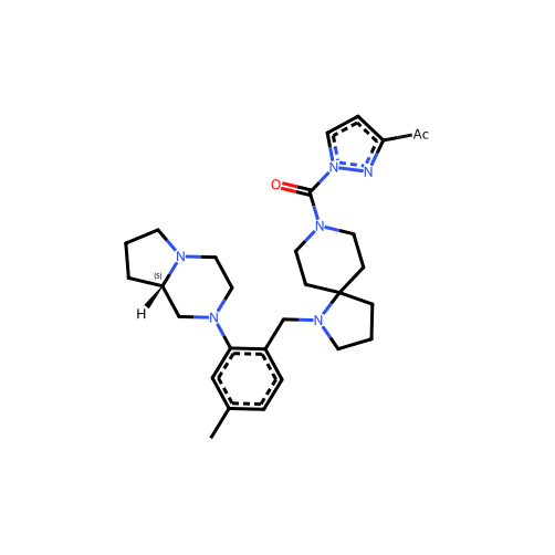 CC(=O)c1ccn(C(=O)N2CCC3(CCCN3Cc3ccc(C)cc3N3CCN4CCC[C@H]4C3)CC2)n1